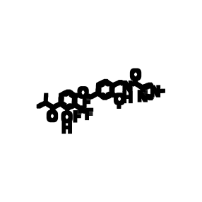 COc1cc(COc2ccc(C(=O)C(C)C)c(O)c2C(F)(F)F)ccc1CNC(=O)c1cn(C)cn1